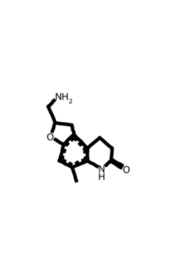 Cc1cc2c(c3c1NC(=O)CC3)CC(CN)O2